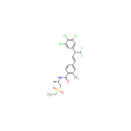 C[C@H](CS(=O)(=O)CC(F)(F)F)NC(=O)c1ccc(/C=C/C(c2cc(Cl)c(Cl)c(Cl)c2)C(F)F)cc1C(F)(F)F